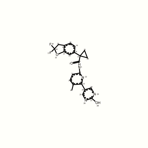 Cc1ccc(NC(=O)C2(c3ccc4c(c3)OC(F)(F)C4)CC2)nc1-c1cnc(O)nc1